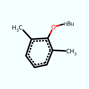 [CH2]CCCOc1c(C)cccc1C